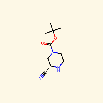 CC(C)(C)OC(=O)N1CCN[C@H](C#N)C1